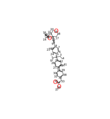 CCC(CC)(c1ccc(C#CC2(O[Si](C)(C)C)CCOCC2)c(C)c1)c1ccc(-c2ccc(CC(=O)OC)cc2)c(C)c1